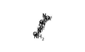 Cc1c(-c2noc(-c3ccc(OC(C)C)c(C#N)c3)n2)ccc2c1CCN(CCCC(N)=O)C2